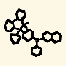 CC1(C)c2ccccc2-c2ccccc2C1(c1ccccc1)c1ccc(N(c2ccccc2)c2ccc3ccccc3c2)cc1